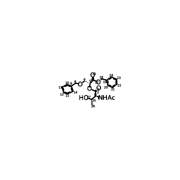 CC(=O)N[C@H](C(=O)O[C@H](COCc1ccccc1)C(=O)OCc1ccccc1)[C@@H](C)O